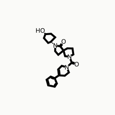 O=C(N1CC=C(c2ccccc2)CC1)N1CCCC2(CCN([C@H]3CC[C@H](O)CC3)C2=O)C1